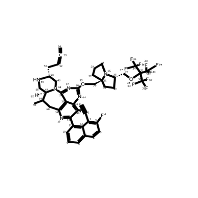 C#Cc1c(F)ccc2cccc(-c3nc4c5c(nc(OC[C@@]67CCCN6[C@H](COC(C(F)(F)F)(C(F)(F)F)C(F)(F)F)CC7)nc5c3F)N3C[C@@H](CC=C=C)NC[C@@H]3C(C)C4)c12